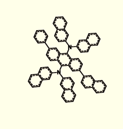 c1ccc(-c2ccc3c(N(c4ccc5ccccc5c4)c4ccc5ccccc5c4)c4cc(-c5ccc6ccccc6c5)ccc4c(N(c4ccc5ccccc5c4)c4ccc5ccccc5c4)c3c2)cc1